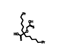 CC(C)CCCCCC(CCCCCC(C)C)(OCC(O)=S)C(O)=S